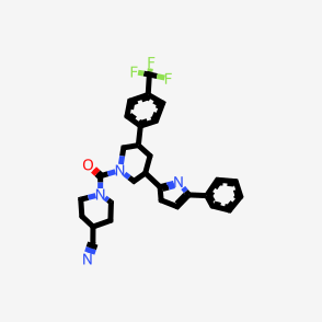 N#CC1CCN(C(=O)N2CC(C3=NC(c4ccccc4)=CC3)CC(c3ccc(C(F)(F)F)cc3)C2)CC1